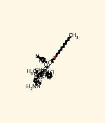 CCCCCCCCCCCCCCCCCCOC[C@H](COP(=O)(Oc1ccccc1Cl)OC1[C@@]2(C)O[C@@H](c3ccc4c(N)ncnn34)[C@@H]3OC(C)(C)O[C@@]132)OCc1ccc(C#N)nc1